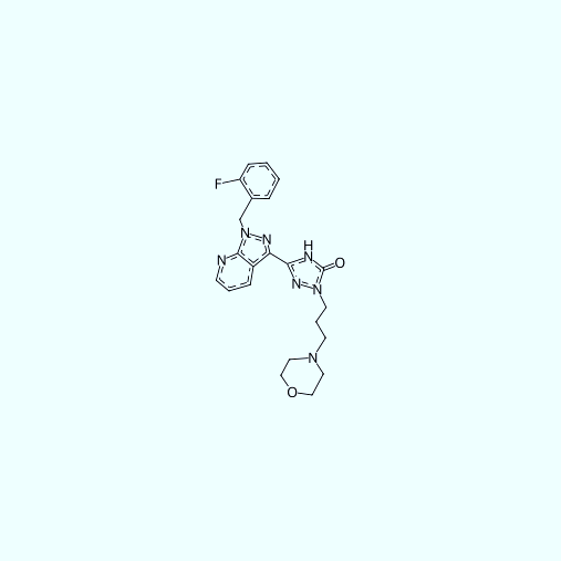 O=c1[nH]c(-c2nn(Cc3ccccc3F)c3ncccc23)nn1CCCN1CCOCC1